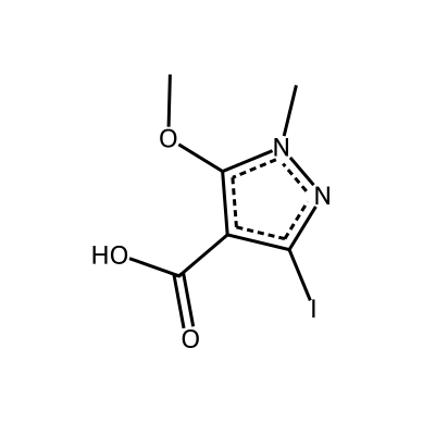 COc1c(C(=O)O)c(I)nn1C